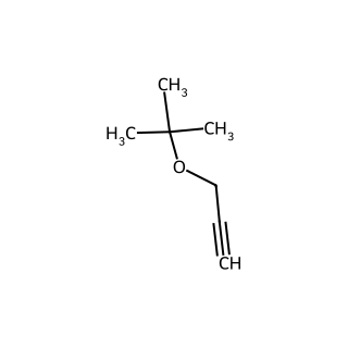 C#CCOC(C)(C)C